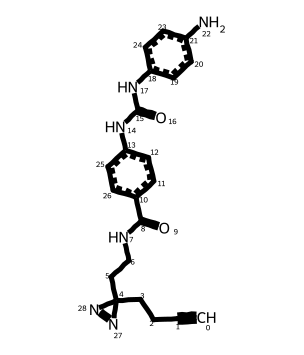 C#CCCC1(CCNC(=O)c2ccc(NC(=O)Nc3ccc(N)cc3)cc2)N=N1